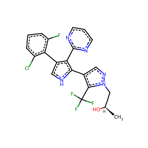 C[C@@H](O)Cn1ncc(-c2[nH]cc(-c3c(F)cccc3Cl)c2-c2ncccn2)c1C(F)(F)F